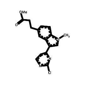 COC(=O)CCc1ccc2c(c1)c(-c1ccnc(Cl)n1)cn2C